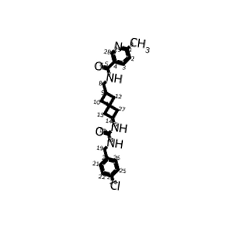 Cc1ccc(C(=O)NCC2CC3(C2)CC(NC(=O)NCc2ccc(Cl)cc2)C3)cn1